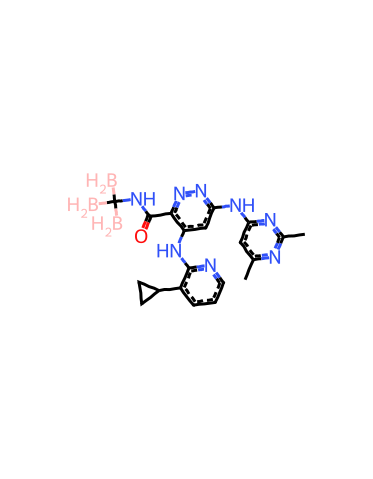 BC(B)(B)NC(=O)c1nnc(Nc2cc(C)nc(C)n2)cc1Nc1ncccc1C1CC1